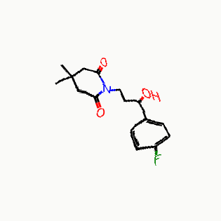 CC1(C)CC(=O)N(CCC(O)c2ccc(F)cc2)C(=O)C1